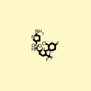 Nc1ccc(S(=O)(=O)Nc2ccc(C(F)(F)F)c(-c3ccc(F)cc3Cl)n2)cn1